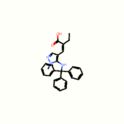 CCC(=Cc1cnn(C)c1NC(c1ccccc1)(c1ccccc1)c1ccccc1)C(=O)O